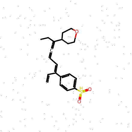 C=C/C(=C\C=C=C(CC)C1CCOCC1)c1ccc([SH](=O)=O)cc1